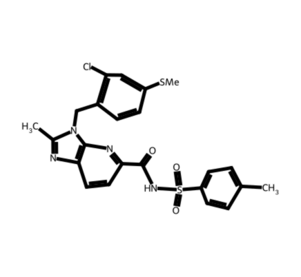 CSc1ccc(Cn2c(C)nc3ccc(C(=O)NS(=O)(=O)c4ccc(C)cc4)nc32)c(Cl)c1